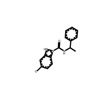 CC(NC(=O)n1[nH]c2cc(Cl)ccc21)c1ccccc1